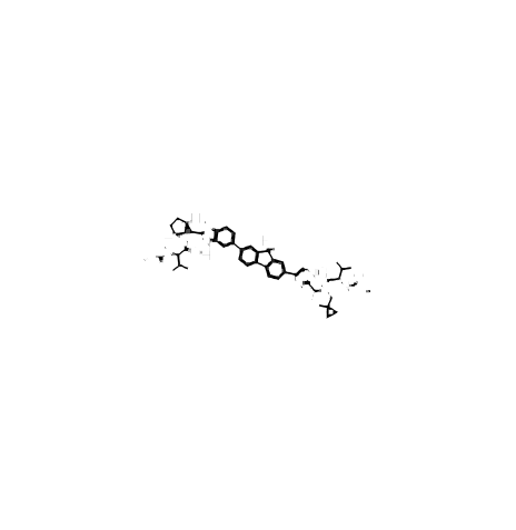 COC(=O)NC(C(=O)N1C2CC[C@@H](C2)C1c1nc2ccc(-c3ccc4c(c3)C(F)(F)c3cc(-c5c[nH]c([C@H](C)N(CC6(C)CC6)C(=O)C(NC(=O)OC)C(C)C)n5)ccc3-4)cc2[nH]1)C(C)C